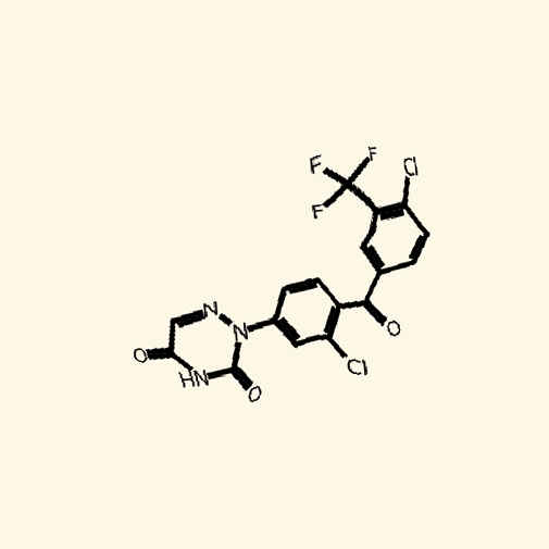 O=C(c1ccc(Cl)c(C(F)(F)F)c1)c1ccc(-n2ncc(=O)[nH]c2=O)cc1Cl